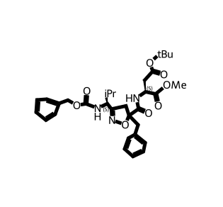 COC(=O)[C@H](CC(=O)OC(C)(C)C)NC(=O)C1(Cc2ccccc2)CC([C@@H](NC(=O)OCc2ccccc2)C(C)C)=NO1